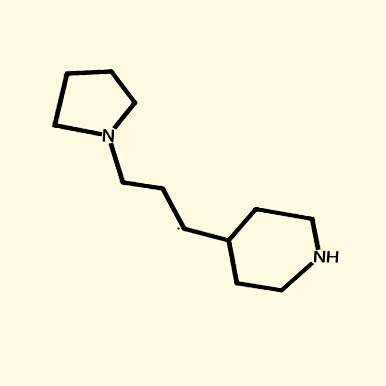 [CH](CCN1CCCC1)C1CCNCC1